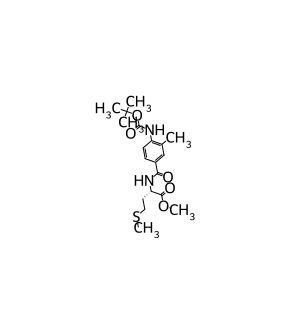 COC(=O)[C@H](CCSC)NC(=O)c1ccc(NC(=O)OC(C)(C)C)c(C)c1